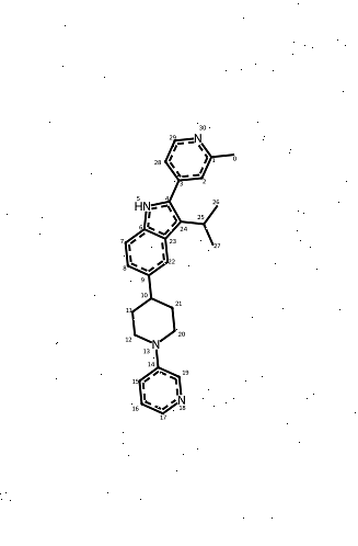 Cc1cc(-c2[nH]c3ccc(C4CCN(c5cccnc5)CC4)cc3c2C(C)C)ccn1